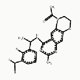 CC(=O)N1CCOc2cc3nc(C)nc(NC(C)c4cccc(C(F)F)c4F)c3cc21